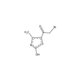 Cc1nc(O)sc1C(=O)CBr